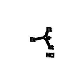 C[CH2][Ge]([CH2]C)[CH2]C.Cl